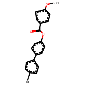 CCCCCCCCOc1ccc(C(=O)Oc2ccc(-c3ccc(CC)cc3)cc2)cc1